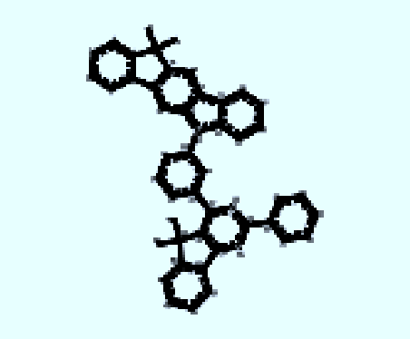 CC1(C)c2ccccc2-c2cc3c(cc21)c1ccccc1n3-c1cccc(-c2nc(-c3ccccc3)nc3c2C(C)(C)c2ccccc2-3)c1